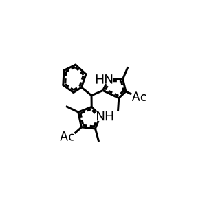 CC(=O)c1c(C)[nH]c(C(c2ccccc2)c2[nH]c(C)c(C(C)=O)c2C)c1C